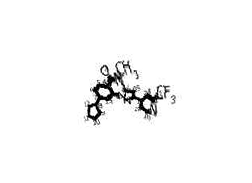 Cn1c(=O)c2ccc(C3CCCC3)cc2n2nc(-c3ccnc(C(F)(F)F)c3)cc12